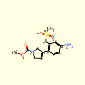 CC(C)(C)OC(=O)N1CC=C(c2ccc(N)cc2CS(C)(=O)=O)C1